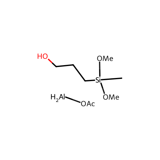 CC(=O)[O][AlH2].CO[Si](C)(CCCO)OC